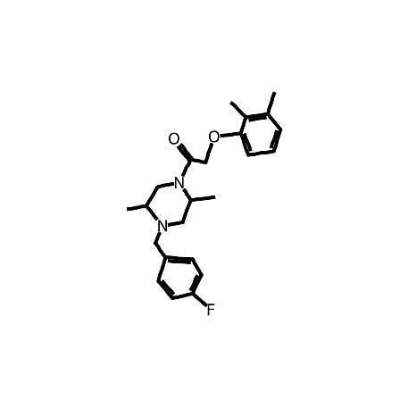 Cc1cccc(OCC(=O)N2CC(C)N(Cc3ccc(F)cc3)CC2C)c1C